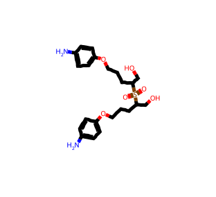 Nc1ccc(OCCCC(CO)S(=O)(=O)C(CO)CCCOc2ccc(N)cc2)cc1